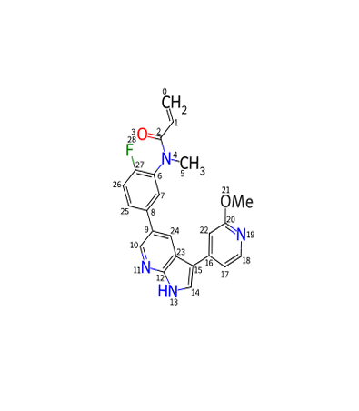 C=CC(=O)N(C)c1cc(-c2cnc3[nH]cc(-c4ccnc(OC)c4)c3c2)ccc1F